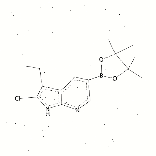 CCc1c(Cl)[nH]c2ncc(B3OC(C)(C)C(C)(C)O3)cc12